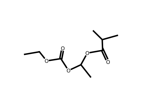 CCOC(=O)OC(C)OC(=O)C(C)C